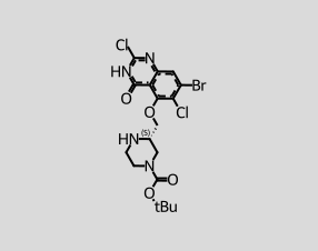 CC(C)(C)OC(=O)N1CCN[C@H](COc2c(Cl)c(Br)cc3nc(Cl)[nH]c(=O)c23)C1